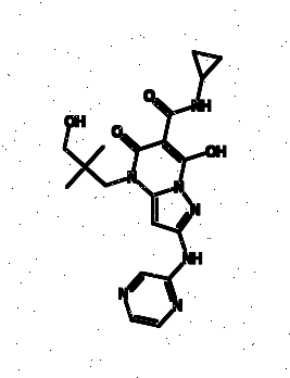 CC(C)(CO)Cn1c(=O)c(C(=O)NC2CC2)c(O)n2nc(Nc3cnccn3)cc12